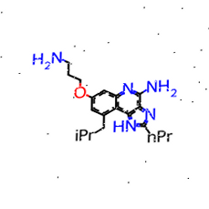 CCCc1nc2c(N)nc3cc(OCCCN)cc(CC(C)C)c3c2[nH]1